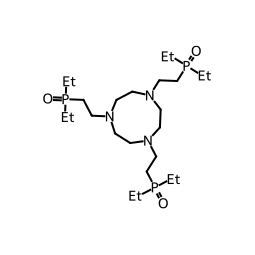 CCP(=O)(CC)CCN1CCN(CCP(=O)(CC)CC)CCN(CCP(=O)(CC)CC)CC1